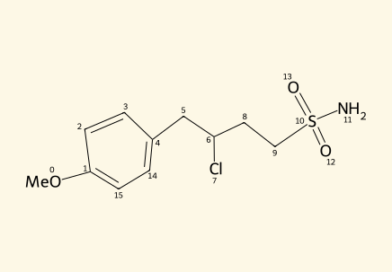 COc1ccc(CC(Cl)CCS(N)(=O)=O)cc1